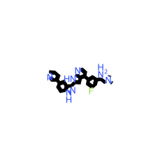 CN(C)CC(N)c1cc(F)cc(-c2ccnc3[nH]c(-c4n[nH]c5ccc(-c6cccnc6)cc45)cc23)c1